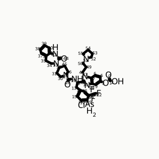 O=C(O)Oc1ccc2c(c1)nc(C(Cc1cc(Cl)c([AsH2])c(C(F)(F)F)c1)NC(=O)N1CCC(N3CCc4ccccc4NC3=O)CC1)n2CCCN1CCCC1